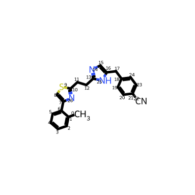 Cc1ccccc1-c1csc(CCc2ncc(Cc3ccc(C#N)cc3)[nH]2)n1